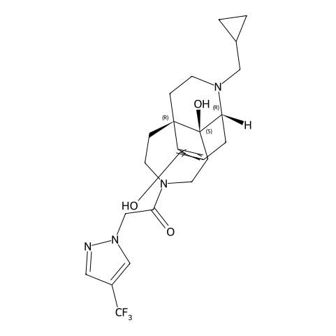 O=C(Cn1cc(C(F)(F)F)cn1)N1CC[C@]23CCN(CC4CC4)[C@H](Cc4ccc(O)cc42)[C@]3(O)CC1